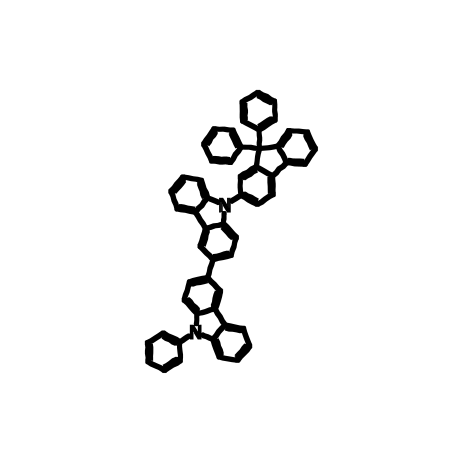 c1ccc(-n2c3ccccc3c3cc(-c4ccc5c(c4)c4ccccc4n5-c4ccc5c(c4)C(c4ccccc4)(c4ccccc4)c4ccccc4-5)ccc32)cc1